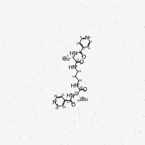 CCC(C)[C@H](NC(=O)c1ccncc1)C(=O)NCCCNC(=O)[C@@H](NC(=O)c1ccncc1)C(C)CC